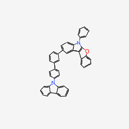 c1ccc(-n2c3ccc(-c4cccc(-c5ccc(-n6c7ccccc7c7ccccc76)cc5)c4)cc3c3c4ccccc4oc32)cc1